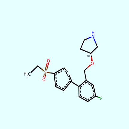 CCS(=O)(=O)c1ccc(-c2ccc(F)cc2CO[C@H]2CCNC2)cc1